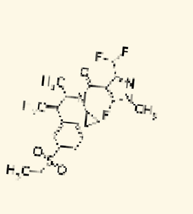 C=C(c1cccc(S(=O)(=O)CC)c1)C(C)N(C(=O)c1c(C(F)F)nn(C)c1F)C1CC1